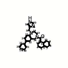 O=C(c1cccc2ccccc12)N1CCN(Cc2c[nH]cn2)c2ccc(-c3ccncc3)cc2C1